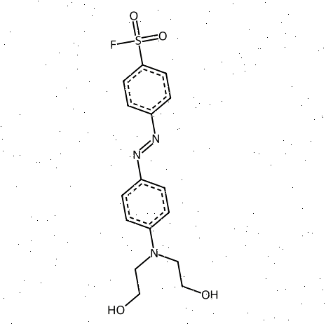 O=S(=O)(F)c1ccc(/N=N/c2ccc(N(CCO)CCO)cc2)cc1